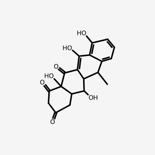 CC1c2cccc(O)c2C(O)=C2C(=O)C3(O)C(=O)CC(=O)CC3C(O)C21